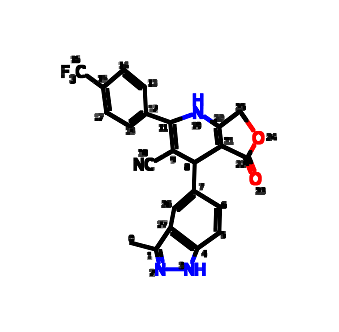 Cc1n[nH]c2ccc(C3C(C#N)=C(c4ccc(C(F)(F)F)cc4)NC4=C3C(=O)OC4)cc12